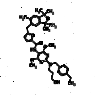 CCc1ccc(CN(CCCO)c2nc(OC)c(NC(=O)c3ccc(Cc4cc5c(cc4C)C(C)(C)OC5(C)C)o3)c(OC)n2)cc1